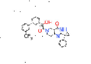 O=C([C@H](O)c1cccc(-c2cccc(C(F)(F)F)c2)c1)N1CCc2nc(C3(c4ccccc4)CC3)[nH]c(=O)c2C1